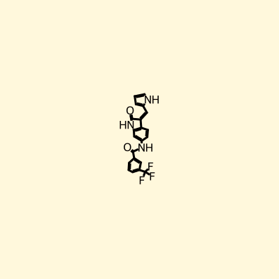 O=C1Nc2cc(NC(=O)c3cccc(C(F)(F)F)c3)ccc2C1=Cc1ccc[nH]1